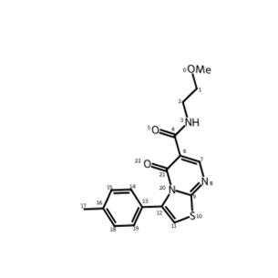 COCCNC(=O)c1cnc2scc(-c3ccc(C)cc3)n2c1=O